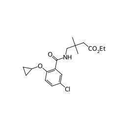 CCOC(=O)CC(C)(C)CNC(=O)c1cc(Cl)ccc1OC1CC1